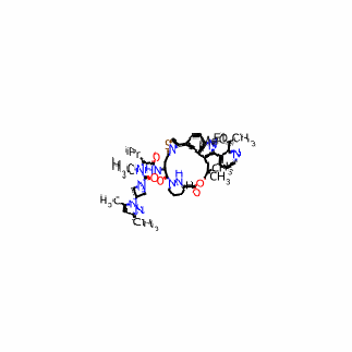 CCn1c(-c2cccnc2[C@H](C)OC)c2c3cc(ccc31)-c1csc(n1)C[C@H](NC(=O)C(C(C)C)N(C)C(=O)N1CC(n3nc(C)cc3C)C1)C(=O)N1CCC[C@H](N1)C(=O)OCC(C)(C)C2